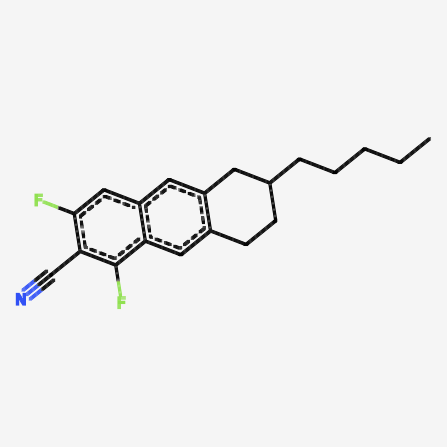 CCCCCC1CCc2cc3c(F)c(C#N)c(F)cc3cc2C1